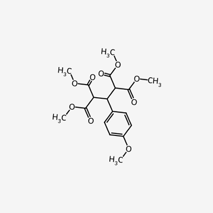 COC(=O)C(C(=O)OC)C(c1ccc(OC)cc1)C(C(=O)OC)C(=O)OC